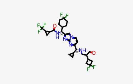 O=CC(CN[C@@H](c1ccn2cc([C@@H](NC(=O)C3CC3C(F)(F)F)C3CCC(F)(F)CC3)nc2n1)C1CC1)C1CC(F)(F)C1